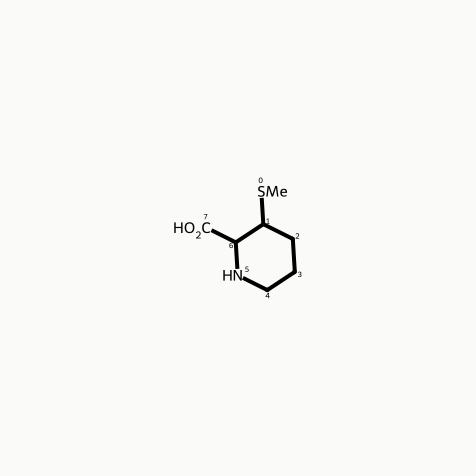 CSC1CCCNC1C(=O)O